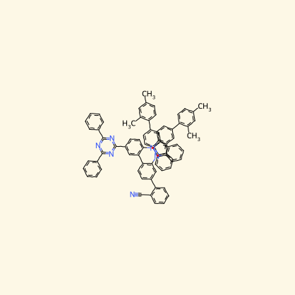 Cc1ccc(-c2ccc3c(c2)c2ccccc2n3-c2ccc(-c3nc(-c4ccccc4)nc(-c4ccccc4)n3)cc2-c2ccc(-c3ccccc3C#N)cc2-n2c3ccccc3c3cc(-c4ccc(C)cc4C)ccc32)c(C)c1